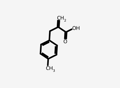 C=C(Cc1ccc(C)cc1)C(=O)O